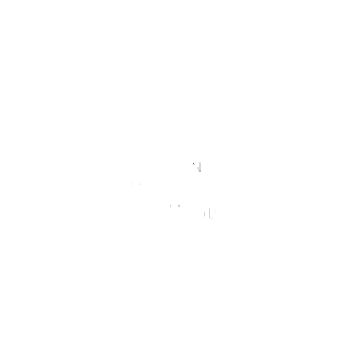 CN(C)P(=O)(Cl)OC(C)(C)C